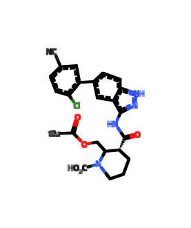 CC(C)(C)C(=O)OCC1[C@H](C(=O)Nc2n[nH]c3ccc(-c4cc(C#N)ccc4Cl)cc23)CCCN1C(=O)O